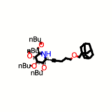 CCCCOC[C@H]1N[C@@H](C#CCCCOCC23CC4CC(CC(C4)C2)C3)[C@H](OCCCC)[C@@H](OCCCC)[C@@H]1OCCCC